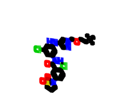 C[Si](C)(C)CCOCn1cc(Nc2cc(Cl)cc(NC(=O)c3cc(N4CCCS4(=O)=O)ccc3Cl)c2)cn1